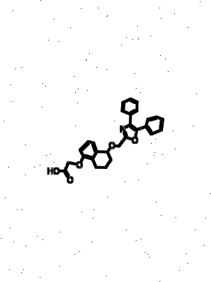 O=C(O)COc1cccc2c1CCC[C@@H]2OCc1nc(-c2ccccc2)c(-c2ccccc2)o1